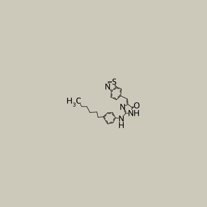 CCCCCCc1ccc(NC2=N/C(=C\c3ccc4ncsc4c3)C(=O)N2)cc1